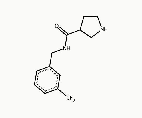 O=C(NCc1cccc(C(F)(F)F)c1)C1CCNC1